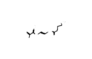 C=C(C)C(=O)OCCOC(=O)CCCOC